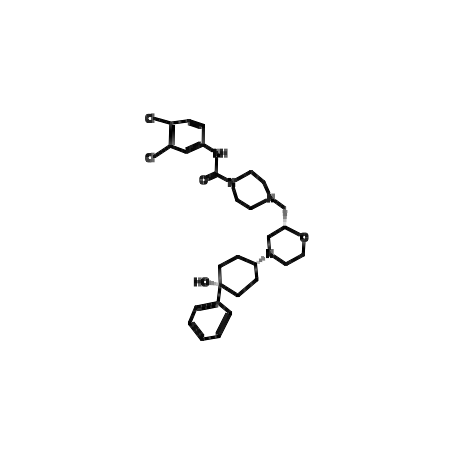 O=C(Nc1ccc(Cl)c(Cl)c1)N1CCN(C[C@H]2CN([C@H]3CC[C@](O)(c4ccccc4)CC3)CCO2)CC1